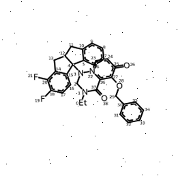 CCN1CN(C23c4ccccc4CC2Cc2c3ccc(F)c2F)n2ccc(=O)c(OCc3ccccc3)c2C1=O